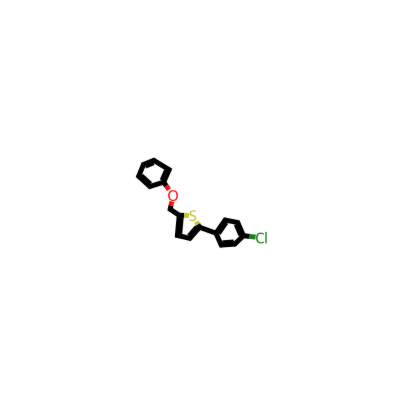 Clc1ccc(-c2ccc(COc3ccccc3)s2)cc1